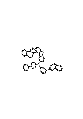 c1ccc(-c2ccc(N(c3cccc(-c4ccc5ccccc5c4)c3)c3ccc4sc5ccc6oc7c8ccccc8ccc7c6c5c4c3)cc2)cc1